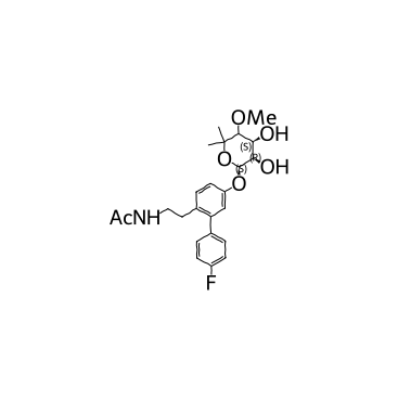 COC1[C@@H](O)[C@@H](O)[C@@H](Oc2ccc(CCNC(C)=O)c(-c3ccc(F)cc3)c2)OC1(C)C